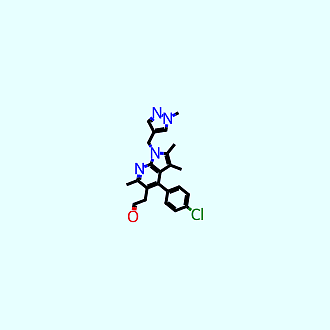 Cc1nc2c(c(C)c(C)n2Cc2cnn(C)c2)c(-c2ccc(Cl)cc2)c1CC=O